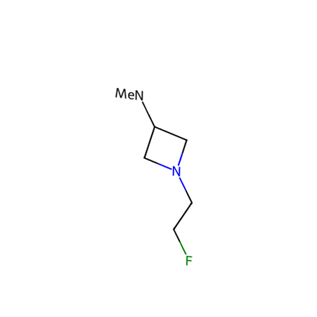 CNC1CN(CCF)C1